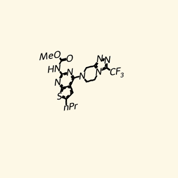 CCCc1cc2c(N3CCn4c(nnc4C(F)(F)F)C3)nc(NC(=O)OC)nc2s1